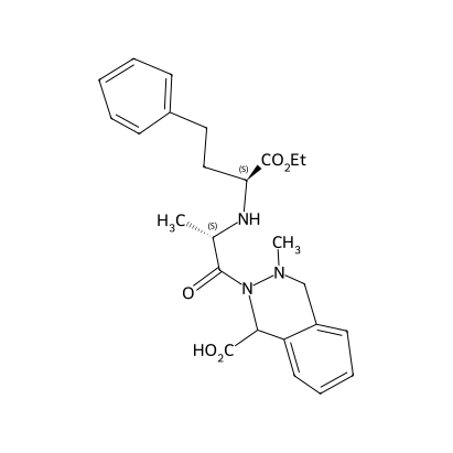 CCOC(=O)[C@H](CCc1ccccc1)N[C@@H](C)C(=O)N1C(C(=O)O)c2ccccc2CN1C